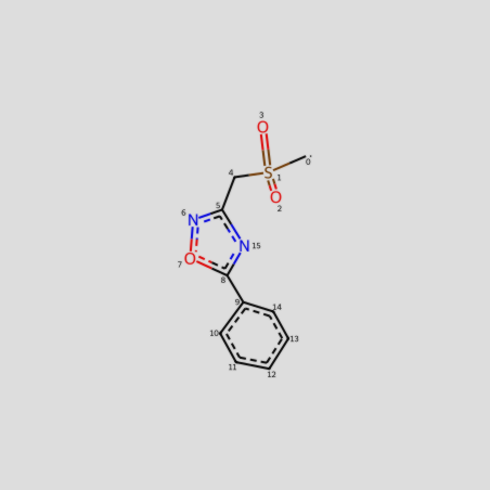 [CH2]S(=O)(=O)Cc1noc(-c2ccccc2)n1